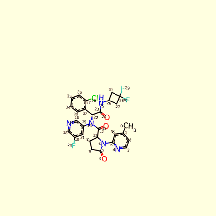 Cc1ccnc(N2C(=O)CCC2C(=O)N(c2cncc(F)c2)[C@H](C(=O)NC2CC(F)(F)C2)c2ccccc2Cl)c1